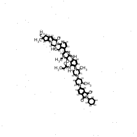 C=CC(=O)Nc1cc(Nc2nc(-c3ccnc(N4CCn5c(cc6c5CC(C)(C)C6)C4=O)c3CO)cn(C)c2=O)ccc1N1CCN(C2CCN(c3ccc4c(c3)C(=O)N(C3CCCCC3)C4=O)[C@@H](C)C2)C[C@@H]1C